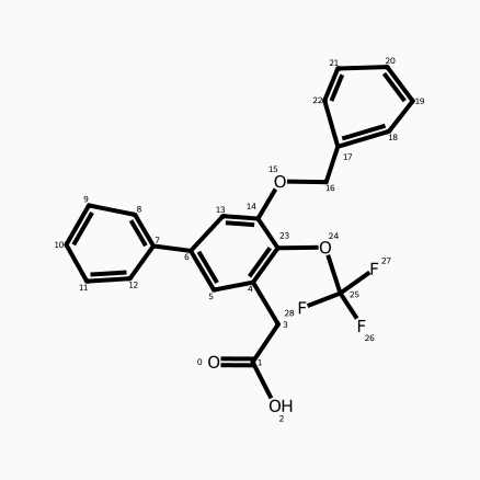 O=C(O)Cc1cc(-c2ccccc2)cc(OCc2ccccc2)c1OC(F)(F)F